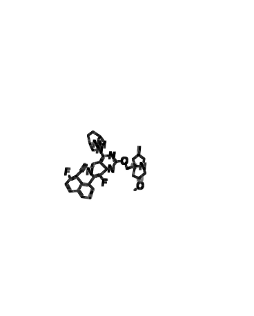 C#Cc1c(F)ccc2cccc(-c3ncc4c(N5CC6CCC(C5)N6)nc(OC[C@@]56CC(=C)CN5C[C@H](OC)C6)nc4c3F)c12